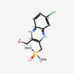 COP(=O)(Cc1nc2cc(Cl)ccc2nc1CBr)OC